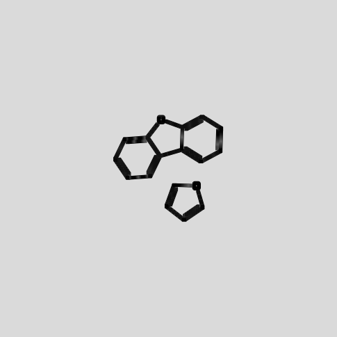 c1ccc2c(c1)oc1ccccc12.c1ccoc1